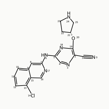 N#Cc1ncc(Nc2cc3cccc(Cl)c3cn2)nc1O[C@@H]1CCNC1